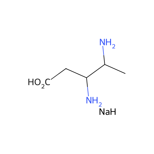 CC(N)C(N)CC(=O)O.[NaH]